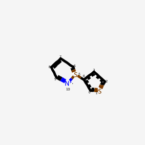 [c]1sccc1S1=CC=CC=[N+]1